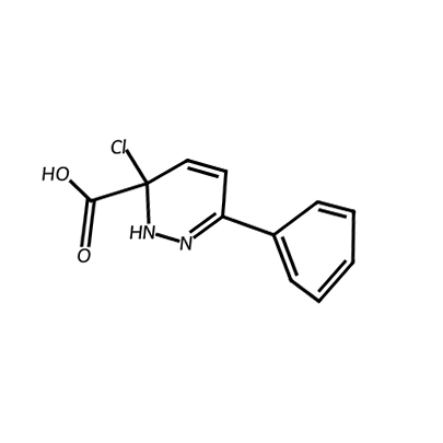 O=C(O)C1(Cl)C=CC(c2ccccc2)=NN1